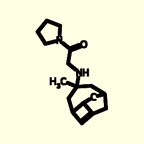 CC1(NCC(=O)N2CCCC2)CC2CC3=CC(C1)C3C2